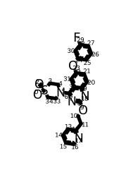 O=S1(=O)CCN(c2nc(OCCc3ccccn3)nc3ccc(Oc4cccc(F)c4)cc23)CC1